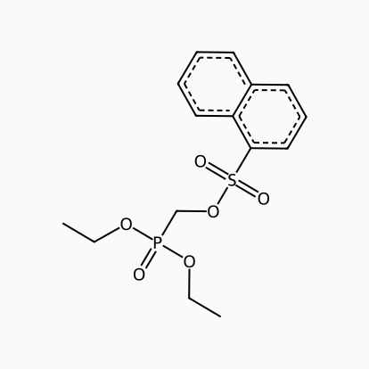 CCOP(=O)(COS(=O)(=O)c1cccc2ccccc12)OCC